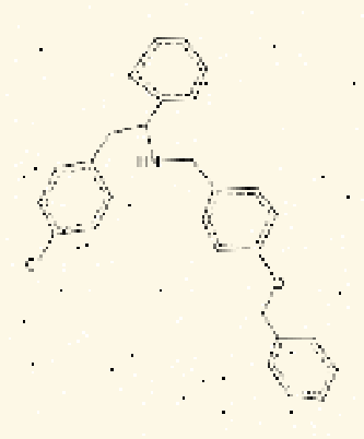 Clc1ccc(CC(NCc2ccc(OCc3ccccc3)cc2)c2ccccc2)cc1